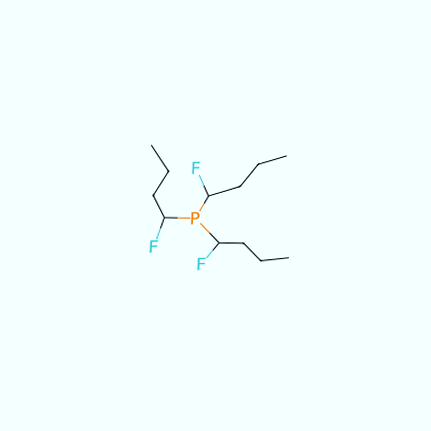 CCCC(F)P(C(F)CCC)C(F)CCC